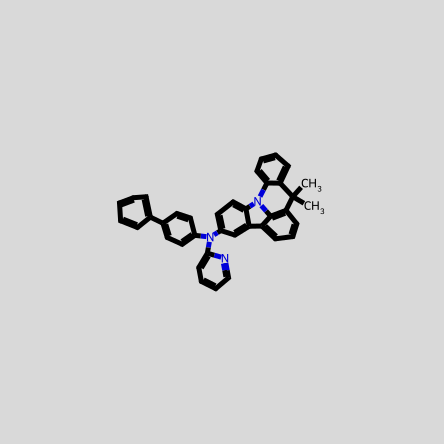 CC1(C)c2ccccc2-n2c3ccc(N(c4ccc(-c5ccccc5)cc4)c4ccccn4)cc3c3cccc1c32